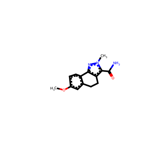 COc1ccc2c(c1)CCc1c-2nn(C)c1C(N)=O